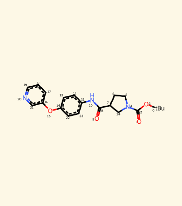 CC(C)(C)OC(=O)N1CCC(C(=O)Nc2ccc(Oc3cccnc3)cc2)C1